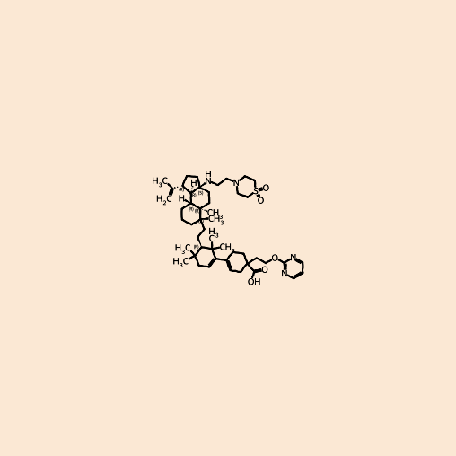 C=C(C)[C@@H]1CC[C@]2(NCCN3CCS(=O)(=O)CC3)CC[C@]3(C)[C@H](CCC[C@@]3(C)CC[C@@H]3C(C)(C)CC=C(C4=CCC(CCOc5ncccn5)(C(=O)O)CC4)C3(C)C)[C@@H]12